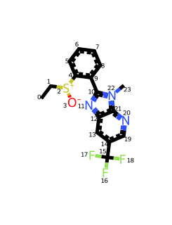 CC[S+]([O-])c1ccccc1-c1nc2cc(C(F)(F)F)cnc2n1C